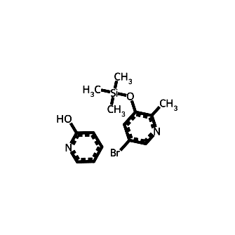 Cc1ncc(Br)cc1O[Si](C)(C)C.Oc1ccccn1